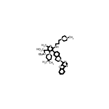 Cc1nc(NCCCN2CCN(C)CC2)c(-c2ccc3c(c2)CCN(c2ncnc4c2oc2ccccc24)C3)c(N2CCC(C)(C)CC2)c1C(OC(C)(C)C)C(=O)O